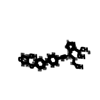 C[C@H](O)c1nccn1[C@@H](C#Cc1ccc(-c2ccc(O[C@@H]3COC[C@H]3O)cc2)cc1)CCO